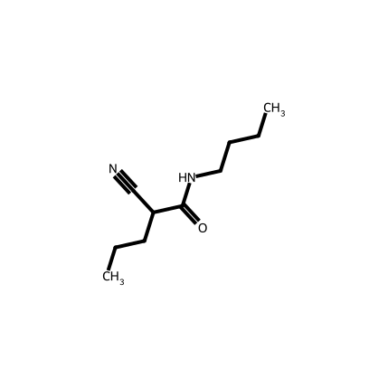 CCCCNC(=O)C(C#N)CCC